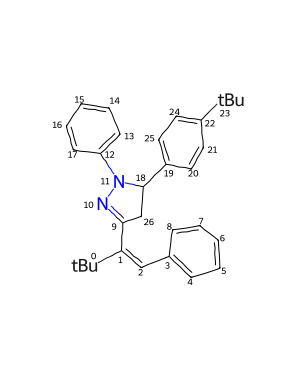 CC(C)(C)C(=Cc1ccccc1)C1=NN(c2ccccc2)C(c2ccc(C(C)(C)C)cc2)C1